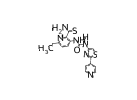 CCc1ccc(NC(=O)Nc2csc(-c3ccncc3)n2)c(C(N)=S)n1